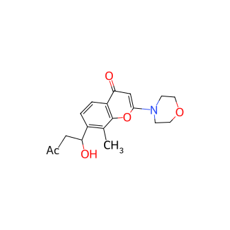 CC(=O)CC(O)c1ccc2c(=O)cc(N3CCOCC3)oc2c1C